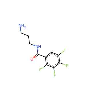 NCCCNC(=O)c1cc(F)c(F)c(F)c1F